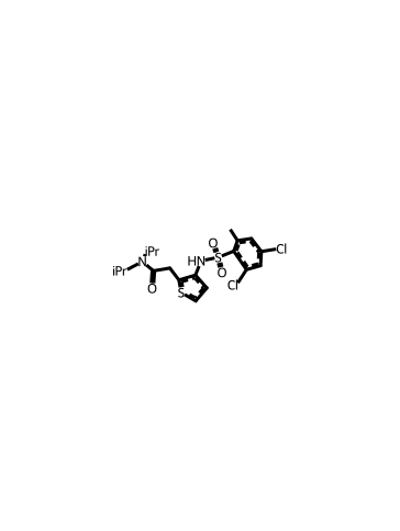 Cc1cc(Cl)cc(Cl)c1S(=O)(=O)Nc1ccsc1CC(=O)N(C(C)C)C(C)C